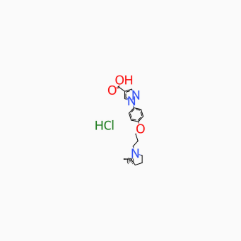 C[C@@H]1CCCN1CCCOc1ccc(-n2cc(C(=O)O)cn2)cc1.Cl